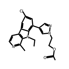 CCn1c2c(-c3cnn(CCOC(C)=O)c3)cc(Cl)cc2c2ccnc(C)c21